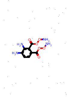 NOOC(=O)c1ccc(N)c(N)c1C(=O)OON